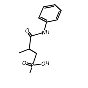 CC(CP(C)(=O)O)C(=O)Nc1ccccc1